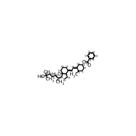 C=C1CC[C@H](OC(=O)c2ccccc2)C/C1=C/C=C1CCC[C@@]2(C)C1CC[C@@H]2[C@H](C)CCCC(C)(C)O